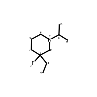 CCC1(F)CCCN(C(C)C)C1